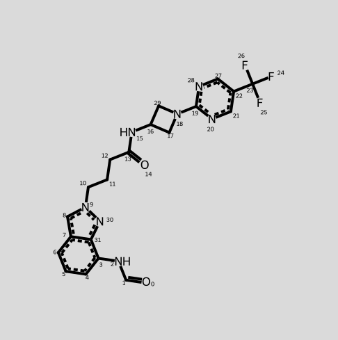 O=CNc1cccc2cn(CCCC(=O)NC3CN(c4ncc(C(F)(F)F)cn4)C3)nc12